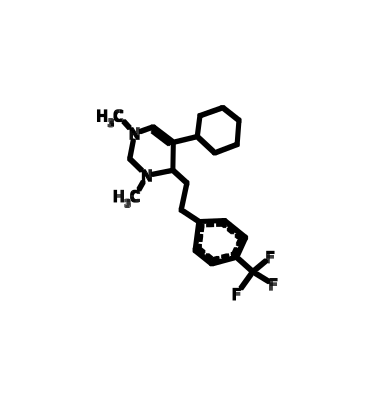 CN1C=C(C2CCCCC2)C(CCc2ccc(C(F)(F)F)cc2)N(C)C1